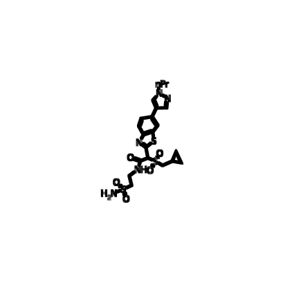 CCCn1cc(-c2ccc3nc(C(C(=O)NCCS(N)(=O)=O)S(=O)(=O)CC4CC4)sc3c2)cn1